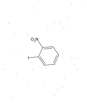 O=[N+]([O-])c1cc[c]cc1I